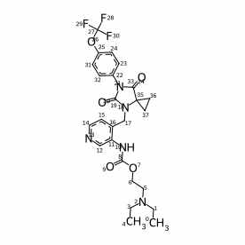 CCN(CC)CCOC(=O)Nc1cnccc1CN1C(=O)N(c2ccc(OC(F)(F)F)cc2)C(=O)C12CC2